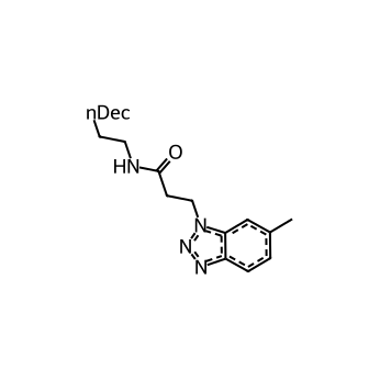 CCCCCCCCCCCCNC(=O)CCn1nnc2ccc(C)cc21